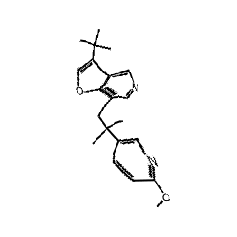 COc1ccc(C(C)(C)Cc2cncc3c(C(C)(C)C)coc23)cn1